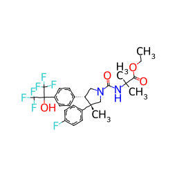 CCOC(=O)C(C)(C)NC(=O)N1C[C@@H](c2ccc(C(O)(C(F)(F)F)C(F)(F)F)cc2)[C@@](C)(c2ccc(F)cc2)C1